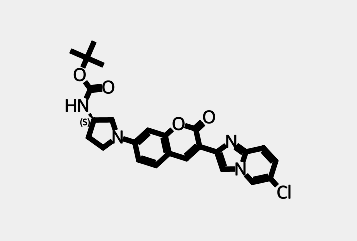 CC(C)(C)OC(=O)N[C@H]1CCN(c2ccc3cc(-c4cn5cc(Cl)ccc5n4)c(=O)oc3c2)C1